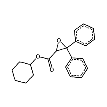 O=C(OC1CCCCC1)C1OC1(c1ccccc1)c1ccccc1